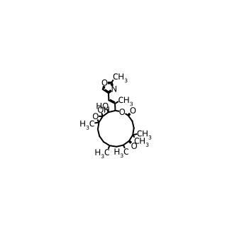 CC(=Cc1coc(C)n1)C1OC(=O)CCC(C)(C)C(=O)C(C)CC(C)CCCC2(C)OC2(O)C1O